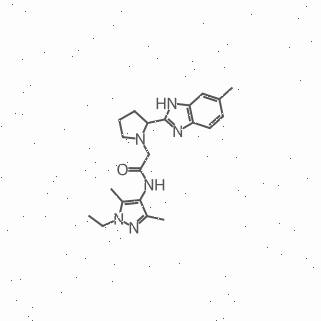 CCn1nc(C)c(NC(=O)CN2CCCC2c2nc3ccc(C)cc3[nH]2)c1C